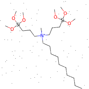 CCCCCCCCCC[N+](C)(CCC[Si](OC)(OC)OC)CCC[Si](OC)(OC)OC